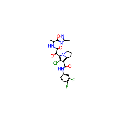 Cc1noc(C(C)NC(=O)C(=O)c2c(Cl)c(C(=O)Nc3ccc(F)c(F)c3)c3n2CCC3)n1